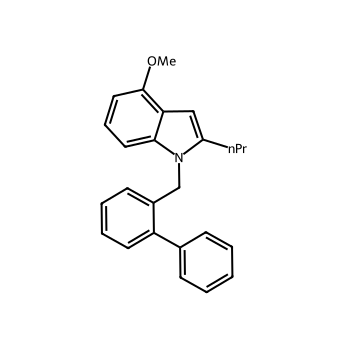 CCCc1cc2c(OC)cccc2n1Cc1ccccc1-c1ccccc1